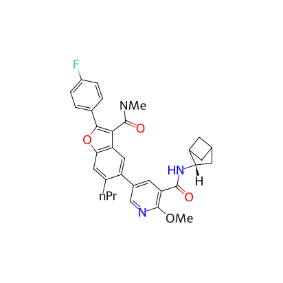 CCCc1cc2oc(-c3ccc(F)cc3)c(C(=O)NC)c2cc1-c1cnc(OC)c(C(=O)N[C@H]2CC3CC2C3)c1